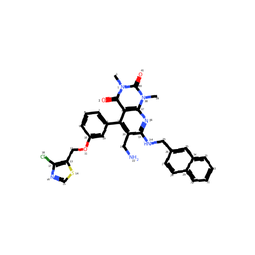 Cn1c(=O)c2c(-c3cccc(OCc4scnc4Cl)c3)c(CN)c(NCc3ccc4ccccc4c3)nc2n(C)c1=O